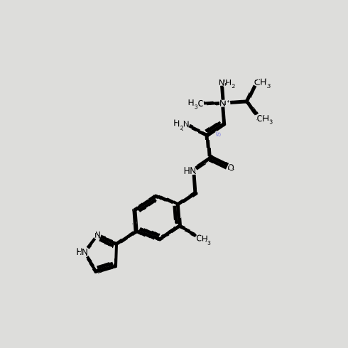 Cc1cc(-c2cc[nH]n2)ccc1CNC(=O)/C(N)=C/[N+](C)(N)C(C)C